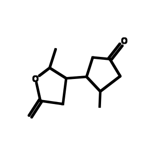 C=C1CC(C2CC(=O)CC2C)C(C)O1